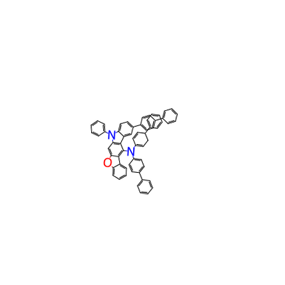 C1=CC(c2ccccc2)CC=C1N(c1ccc(-c2ccccc2)cc1)c1c2c(cc3c1c1cc(-c4ccc(-c5ccccc5)cc4)ccc1n3-c1ccccc1)oc1ccccc12